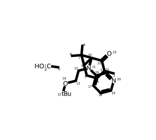 CC(=O)O.CC1CCC2C(C)(C)C2(N(CCOC(C)(C)C)c2cccnc2)C1=O